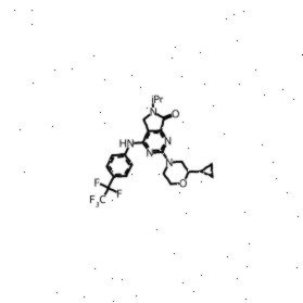 CC(C)N1Cc2c(Nc3ccc(C(F)(F)C(F)(F)F)cc3)nc(N3CCOC(C4CC4)C3)nc2C1=O